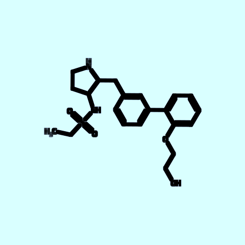 CCS(=O)(=O)NC1CCNC1Cc1cccc(-c2ccccc2OCCO)c1